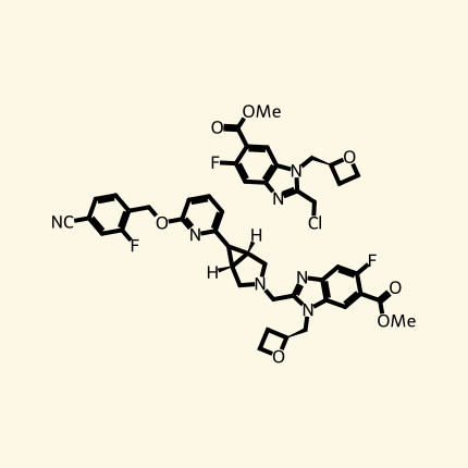 COC(=O)c1cc2c(cc1F)nc(CCl)n2C[C@@H]1CCO1.COC(=O)c1cc2c(cc1F)nc(CN1C[C@@H]3C(c4cccc(OCc5ccc(C#N)cc5F)n4)[C@@H]3C1)n2C[C@@H]1CCO1